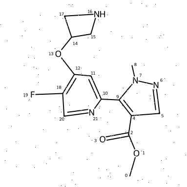 COC(=O)c1cnn(C)c1-c1cc(OC2CNC2)c(F)cn1